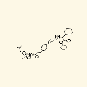 CC(C)COC(C)ONC(=O)/C=C/c1ccc(OCCCN[C@H](C(=O)OC2CCCC2)C2CCCCC2)cc1